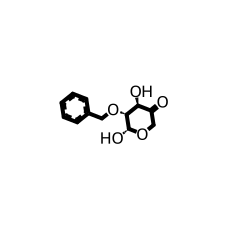 O=C1CO[C@H](O)[C@H](OCc2ccccc2)[C@H]1O